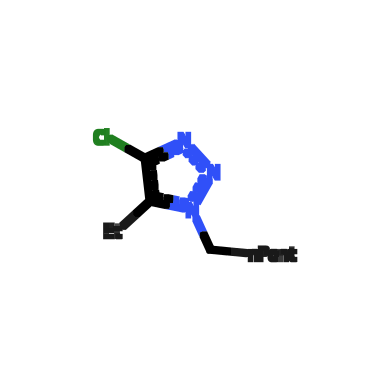 CCCCCCn1nnc(Cl)c1CC